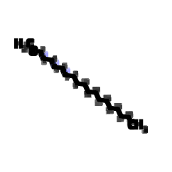 [CH2]O/C=C/C=C/C=C/CCCCCCCCCCCC